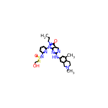 C=CCn1c(=O)c2cnc(Nc3cc(C)c4c(c3)CN(C)CC4)nc2n1-c1cccc(/N=[SH](=O)/CCO)n1